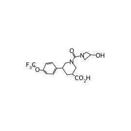 O=C(O)C1CC(c2ccc(OC(F)(F)F)cc2)CN(C(=O)N2CC(O)C2)C1